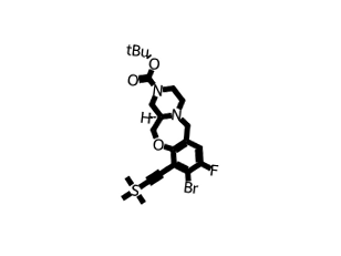 CC(C)(C)OC(=O)N1CCN2Cc3cc(F)c(Br)c(C#CS(C)(C)C)c3OC[C@H]2C1